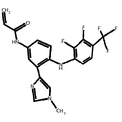 C=CC(=O)Nc1ccc(Nc2ccc(C(F)(F)F)c(F)c2F)c(-c2cn(C)cn2)c1